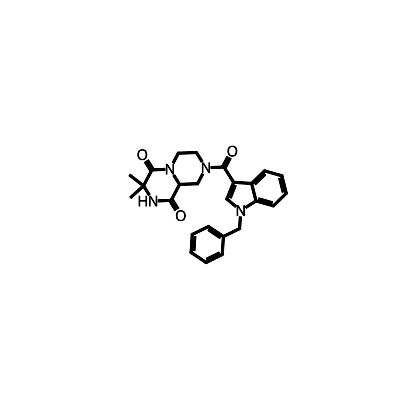 CC1(C)NC(=O)C2CN(C(=O)c3cn(Cc4ccccc4)c4ccccc34)CCN2C1=O